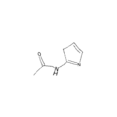 CC(=O)NC1=NC=CC1